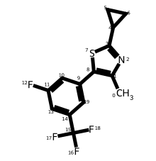 Cc1nc(C2CC2)sc1-c1cc(F)cc(C(F)(F)F)c1